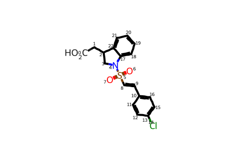 O=C(O)CC1CN(S(=O)(=O)/C=C/c2ccc(Cl)cc2)c2ccccc21